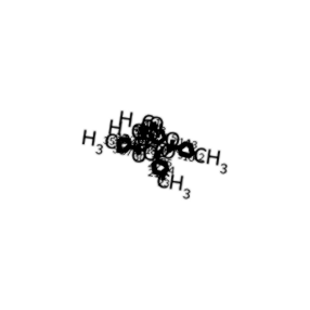 CON=C[C@@H](OC(=O)c1ccc(C)cc1)[C@H](OC(=O)c1ccc(C)cc1)[C@@H](COC(=O)c1ccc(C)cc1)OS(C)(=O)=O